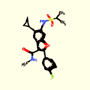 CNC(=O)c1c(-c2ccc(F)cc2)oc2cc(NS(=O)(=O)C(C)C)c(C3CC3)cc12